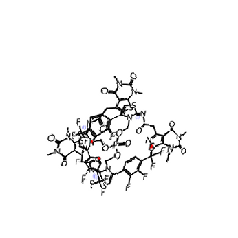 Cn1c(=O)c2c(CC(=O)/N=c3/scc(-c4ccc(C(F)(F)F)c(F)c4F)n3COP(=O)(OCn3c(-c4ccc(C(F)(F)F)c(F)c4F)cs/c3=N/C(=O)Cc3nsc4c3c(=O)n(C)c(=O)n4C)OCn3c(-c4ccc(C(F)(F)F)c(F)c4F)cs/c3=N/C(=O)Cc3nsc4c3c(=O)n(C)c(=O)n4C)nsc2n(C)c1=O